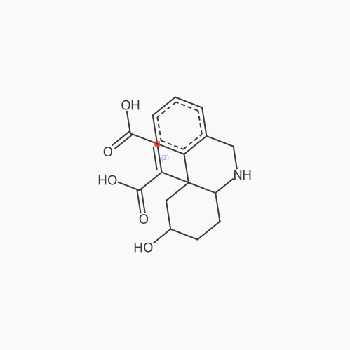 O=C(O)/C=C(\C(=O)O)C12CC(O)CCC1NCc1ccccc12